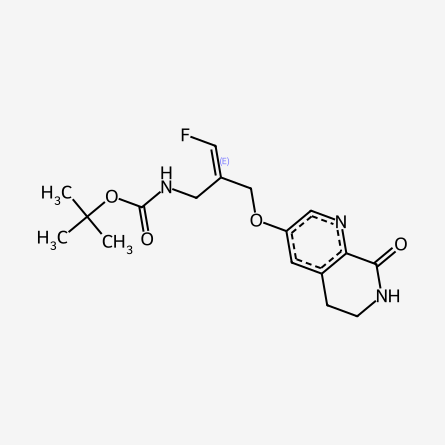 CC(C)(C)OC(=O)NC/C(=C\F)COc1cnc2c(c1)CCNC2=O